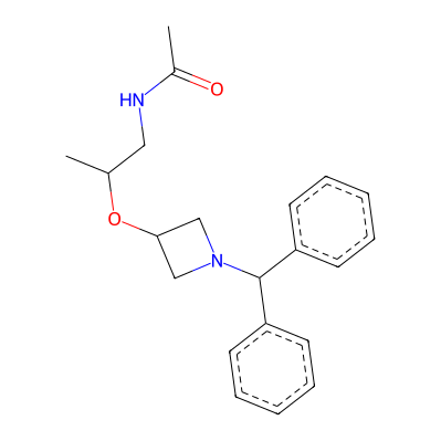 CC(=O)NCC(C)OC1CN(C(c2ccccc2)c2ccccc2)C1